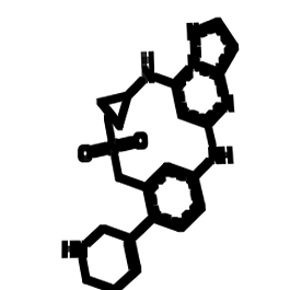 CS(=O)(=O)Cc1cc(Nc2cc(NC3CC3)n3nccc3n2)ccc1C1=CCCNC1